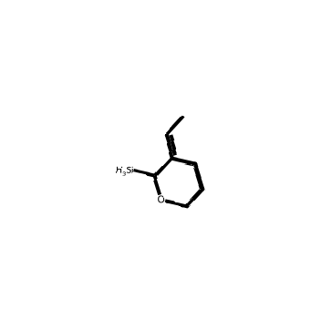 CC=C1CCCOC1[SiH3]